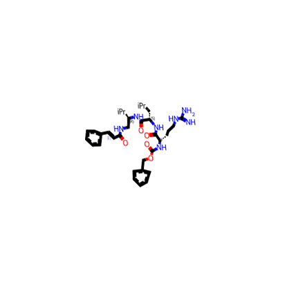 CC(C)C[C@H](NC(=O)[C@H](CCCNC(=N)N)NC(=O)OCc1ccccc1)C(=O)N[C@@H](CNC(=O)/C=C/c1ccccc1)C(C)C